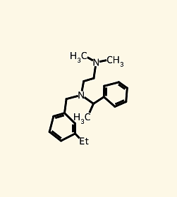 CCc1cccc(CN(CCN(C)C)C(C)c2ccccc2)c1